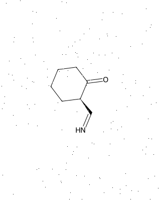 N=C[C@H]1CCCCC1=O